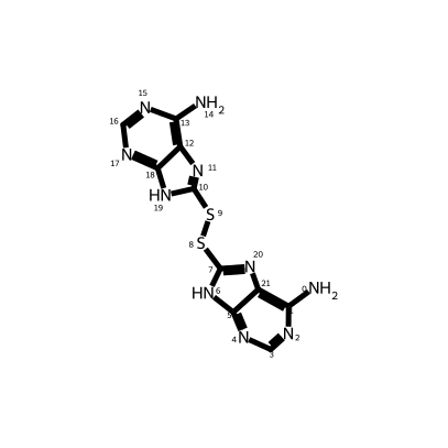 Nc1ncnc2[nH]c(SSc3nc4c(N)ncnc4[nH]3)nc12